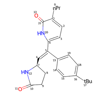 CCCc1ccc(C(=C[C@H]2CCC(=O)N2)c2ccc(C(C)(C)C)cc2)[nH]c1=O